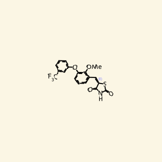 COc1c(/C=C2/SC(=O)NC2=O)cccc1Oc1cccc(C(F)(F)F)c1